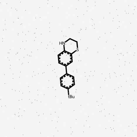 CC(C)(C)c1ccc(-c2ccc3c(c2)SCCN3)cc1